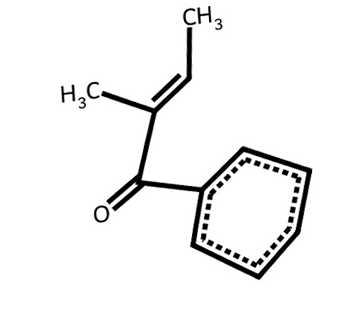 CC=C(C)C(=O)c1ccccc1